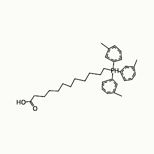 Cc1cccc([PH](CCCCCCCCCCCC(=O)O)(c2cccc(C)c2)c2cccc(C)c2)c1